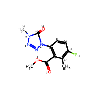 COC(=O)c1c(-n2nnn(C)c2=O)ccc(F)c1C